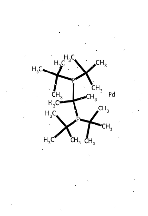 CC(C)(C)P(C(C)(C)C)C(C)(C)P(C(C)(C)C)C(C)(C)C.[Pd]